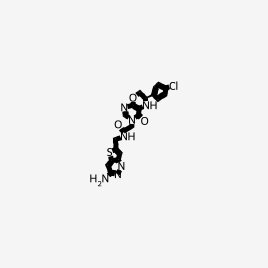 Nc1cc2sc(CNC(=O)Cn3cnc4c(c3=O)N[C@H](c3ccc(Cl)cc3)CO4)cc2nn1